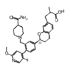 COc1cc(-c2ccc([C@@H]3CCc4ccc(CC(C)C(=O)O)cc4O3)cc2CN2CCC(C(N)=O)CC2)c(F)cn1